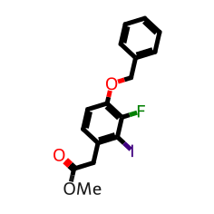 COC(=O)Cc1ccc(OCc2ccccc2)c(F)c1I